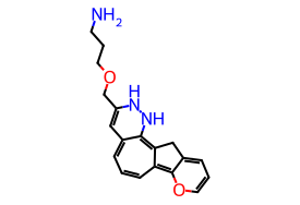 NCCCOCC1=CC2=CC=CC3=C4OC=CC=C4CC3=C2NN1